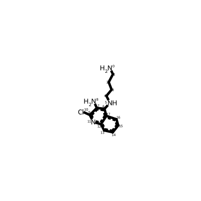 NCCCCNc1c(N)c(Cl)nc2ccccc12